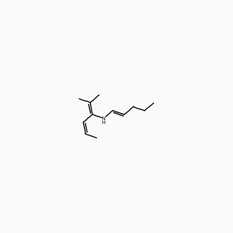 C/C=C\C(N/C=C/CCC)=C(C)C